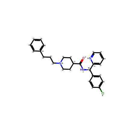 O=C(N[C@H](c1ccc(Cl)cc1)c1ccccn1)C1CCN(CCCc2ccccc2)CC1